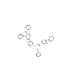 c1ccc(-c2nc(-c3ccc4c(c3)oc3ccccc34)cc(-c3ccc4oc5c(ccc6c(-c7ccccc7)nc7ccccc7c65)c4c3)n2)cc1